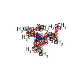 C=C(C)C(=O)OCCOC(=O)C1CCC(C)CC1C(=O)SC(C)CC(=O)OCCn1c(=O)n(CCOC(=O)CC(C)SC(=O)C2CC(C)CCC2C(=O)OCCOC(=O)C(=C)C)c(=O)n(CCOC(=O)CC(C)SC(=O)C2CC(C)CCC2C(=O)OCCOC(=O)C(=C)C)c1=O